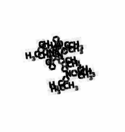 CC(C)(C)c1ccc(N2B3c4cc5oc6ccccc6c5cc4-n4c5cc6c(cc5c5c7oc8ccccc8c7c(c3c54)-c3cc4c(cc32)C(C)(C)c2cc(N(c3ccc(C(C)(C)C)cc3)c3ccc(C(C)(C)C)cc3)ccc2-4)C(C)(C)CCC6(C)C)cc1